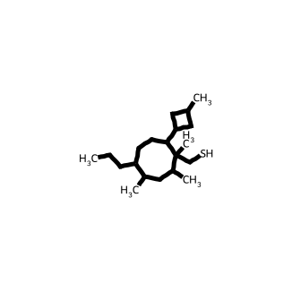 CCCC1CCC(C2CC(C)C2)C(C)(CS)C(C)CC1C